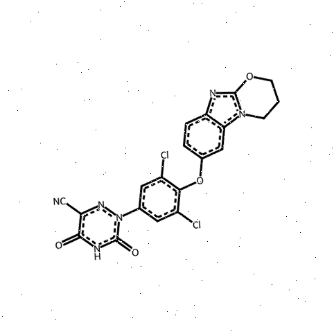 N#Cc1nn(-c2cc(Cl)c(Oc3ccc4nc5n(c4c3)CCCO5)c(Cl)c2)c(=O)[nH]c1=O